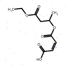 CCOC(=O)CC(C)OC(=O)/C=C\C(=O)O